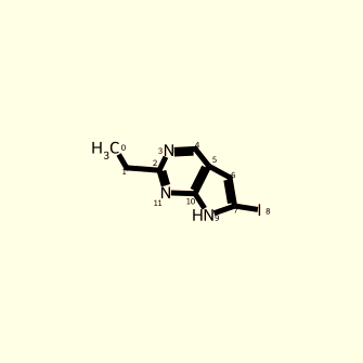 CCc1ncc2cc(I)[nH]c2n1